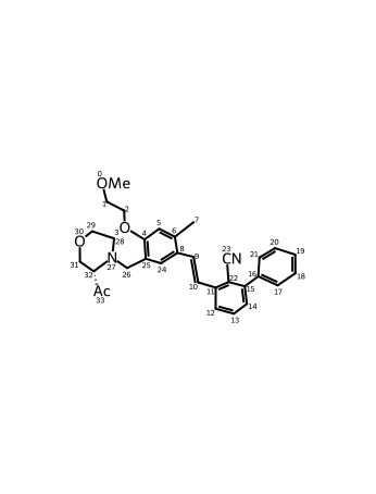 COCCOc1cc(C)c(/C=C/c2cccc(-c3ccccc3)c2C#N)cc1CN1CCOC[C@H]1C(C)=O